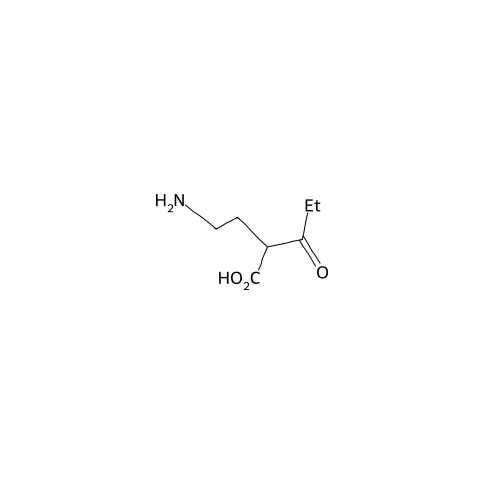 CCC(=O)C(CCN)C(=O)O